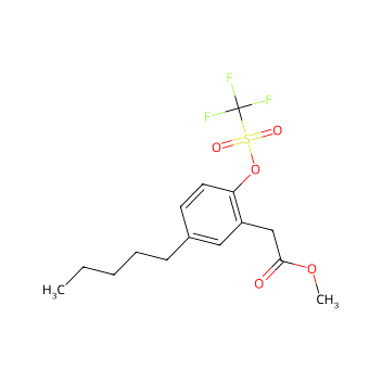 CCCCCc1ccc(OS(=O)(=O)C(F)(F)F)c(CC(=O)OC)c1